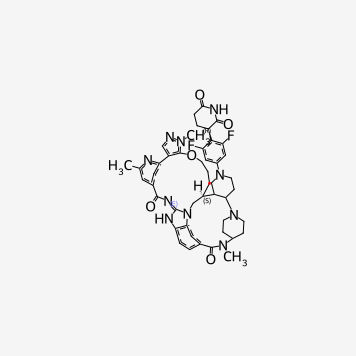 Cc1cc2cc(n1)-c1cnn(C)c1OCCC[C@@H]1CN3/C(=N/C2=O)Nc2ccc(cc23)C(=O)N(C)C2CCN(CC2)C2CCN(c3cc(F)c([C@H]4CCC(=O)NC4=O)c(F)c3)CC21